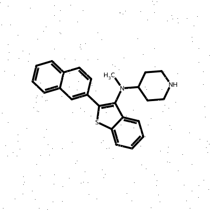 CN(c1c(-c2ccc3ccccc3c2)sc2cc[c]cc12)C1CCNCC1